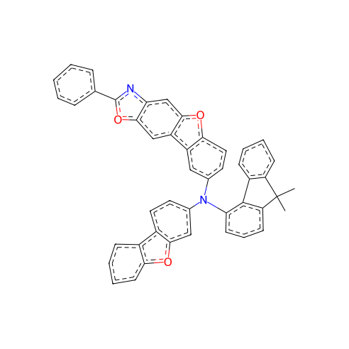 CC1(C)c2ccccc2-c2c(N(c3ccc4c(c3)oc3ccccc34)c3ccc4oc5cc6nc(-c7ccccc7)oc6cc5c4c3)cccc21